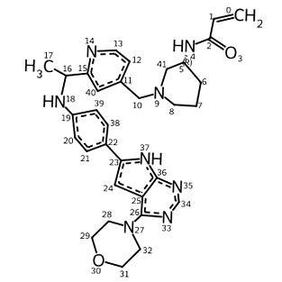 C=CC(=O)N[C@@H]1CCCN(Cc2ccnc(C(C)Nc3ccc(-c4cc5c(N6CCOCC6)ncnc5[nH]4)cc3)c2)C1